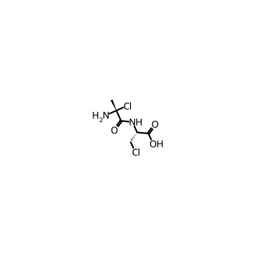 C[C@@](N)(Cl)C(=O)N[C@@H](CCl)C(=O)O